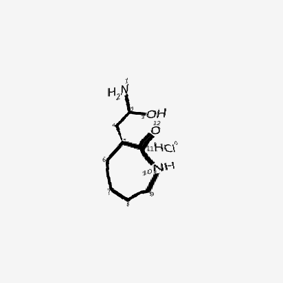 Cl.NC(O)C[C@@H]1CCCCNC1=O